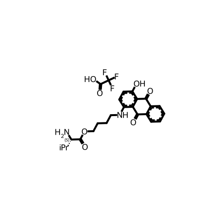 CC(C)[C@H](N)C(=O)OCCCCNc1ccc(O)c2c1C(=O)c1ccccc1C2=O.O=C(O)C(F)(F)F